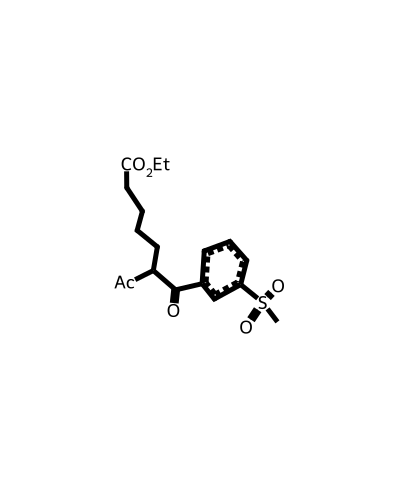 CCOC(=O)CCCCC(C(C)=O)C(=O)c1cccc(S(C)(=O)=O)c1